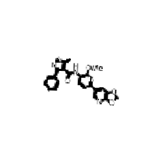 COc1nc(-c2cnc3c(c2)OCO3)ccc1NC(=O)c1c(-c2ccccc2)noc1C